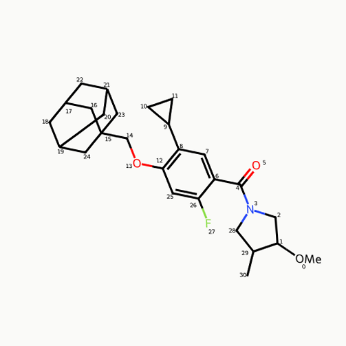 COC1CN(C(=O)c2cc(C3CC3)c(OCC34CC5CC(CC(C5)C3)C4)cc2F)CC1C